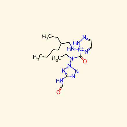 CCCCC(CC)CN[N+]1(C(=O)N(CC)n2nnc(NC=O)n2)N=CC=NN1